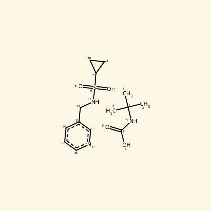 CC(C)(C)NC(=O)O.O=S(=O)(NCc1cccnc1)C1CC1